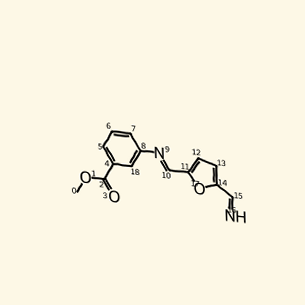 COC(=O)c1cccc(N=Cc2ccc(C=N)o2)c1